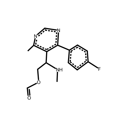 CNC(COC=O)c1c(C)ncnc1-c1ccc(F)cc1